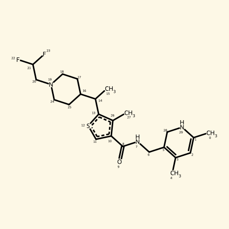 CC1=CC(C)=C(CNC(=O)c2csc(C(C)C3CCN(CC(F)F)CC3)c2C)CN1